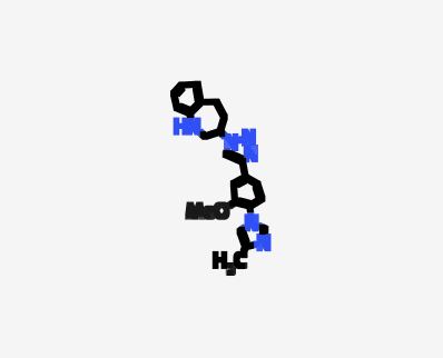 COc1cc(-c2cn(C3CCc4ccccc4NC3)nn2)ccc1-n1cnc(C)c1